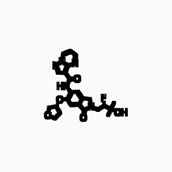 CC(C)(O)[C@H](F)CN1Cc2cc(NC(=O)c3cnn4cccnc34)c(O[C@@H]3CCOC3)cc2C1=O